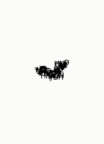 C[C@H](NP(=O)(OC[C@H]1O[C@@H](n2ccc(=O)[nH]c2=O)[C@](C)(F)[C@@H]1O)Oc1cccc2c1ccn2C)C(=O)O